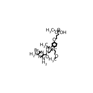 CCOP(=O)(O)CCCOc1ccc2c(c1)n(CC)c(CNC(=O)c1nc(Br)c(N)nc1N)[n+]2CCOC